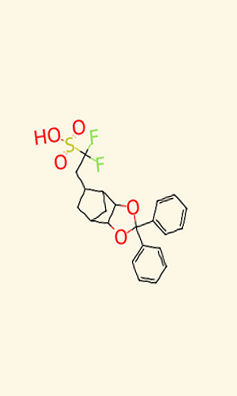 O=S(=O)(O)C(F)(F)CC1CC2CC1C1OC(c3ccccc3)(c3ccccc3)OC21